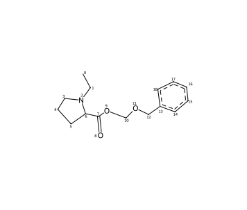 CCN1CCCC1C(=O)OCOCc1ccccc1